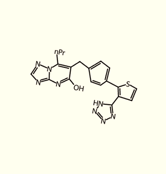 CCCc1c(Cc2ccc(-c3sccc3-c3nnn[nH]3)cc2)c(O)nc2ncnn12